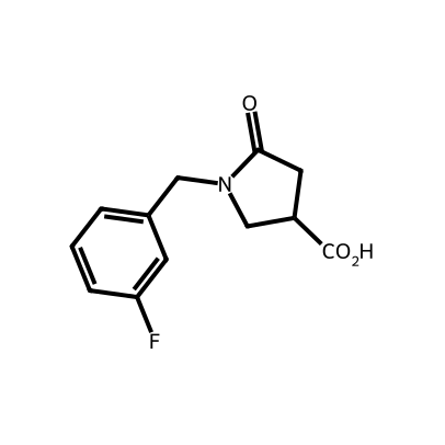 O=C(O)C1CC(=O)N(Cc2cccc(F)c2)C1